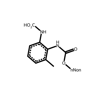 CCCCCCCCCOC(=O)Nc1c(C)cccc1NC(=O)O